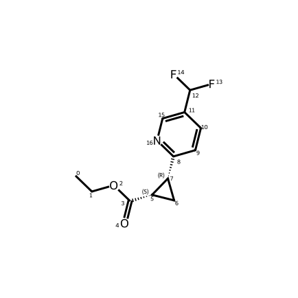 CCOC(=O)[C@H]1C[C@H]1c1ccc(C(F)F)cn1